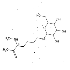 CN[C@@H](CCCCNC1OC(CO)C(O)C(O)C1O)C(C)=O